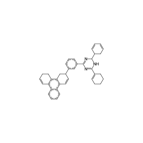 C1=CCC(C2N=C(c3cccc(C4C=Cc5c(c6c(c7ccccc57)C=CCC6)C4)c3)N=C(C3=CCCCC3)N2)C=C1